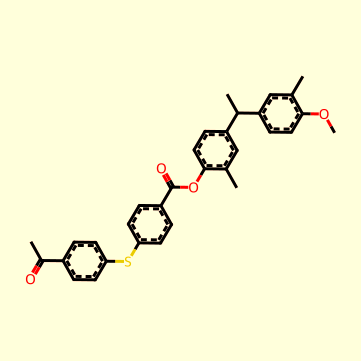 COc1ccc(C(C)c2ccc(OC(=O)c3ccc(Sc4ccc(C(C)=O)cc4)cc3)c(C)c2)cc1C